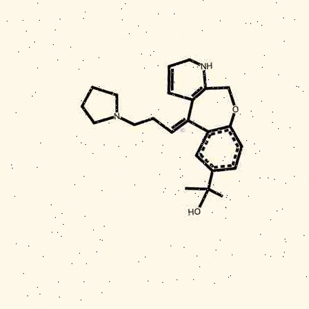 CC(C)(O)c1ccc2c(c1)/C(=C/CCN1CCCC1)C1=C(CO2)NCC=C1